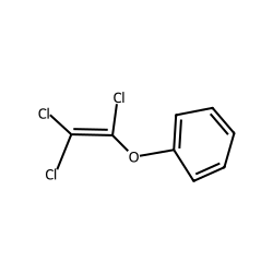 ClC(Cl)=C(Cl)Oc1ccccc1